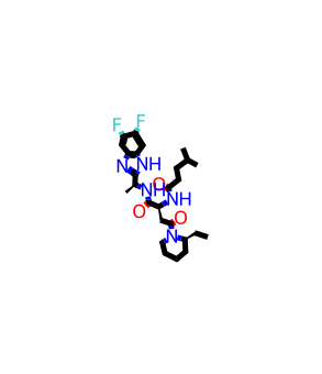 CC[C@H]1CCCCN1C(=O)C[C@H](NC(=O)CCC(C)C)C(=O)N[C@@H](C)c1nc2cc(F)c(F)cc2[nH]1